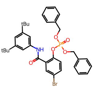 CC(C)(C)c1cc(NC(=O)c2cc(Br)ccc2OP(=O)(OCc2ccccc2)OCc2ccccc2)cc(C(C)(C)C)c1